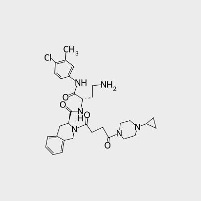 Cc1cc(NC(=O)[C@H](CCN)NC(=O)[C@@H]2Cc3ccccc3CN2C(=O)CCC(=O)N2CCN(C3CC3)CC2)ccc1Cl